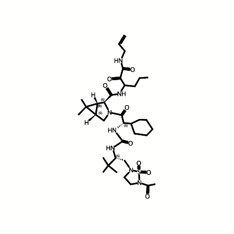 C=CCNC(=O)C(=O)C(CCC)NC(=O)[C@@H]1[C@@H]2[C@H](CN1C(=O)[C@@H](NC(=O)N[C@H](CN1CCN(C(C)=O)S1(=O)=O)C(C)(C)C)C1CCCCC1)C2(C)C